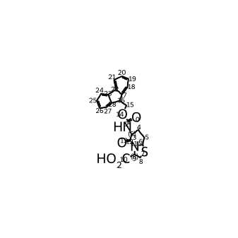 O=C(N[C@H]1CCC2SC[C@@H](C(=O)O)N2C1=O)OCC1c2ccccc2-c2ccccc21